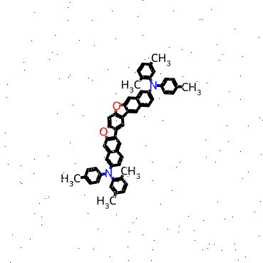 Cc1ccc(N(c2ccc3cc4c(cc3c2)oc2cc3oc5cc6cc(N(c7ccc(C)cc7)c7cc(C)ccc7C)ccc6cc5c3cc24)c2cc(C)ccc2C)cc1